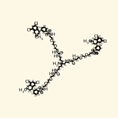 CN1Cc2c(Cl)cc(Cl)cc2[C@H](c2cccc(S(=O)(=O)NCCOCCOCCNC(=O)NCCCC(N)(CCCNC(=O)NCCOCCOCCNS(=O)(=O)c3cccc([C@@H]4CN(C)Cc5c(Cl)cc(Cl)cc54)c3)CCCNC(=O)NCCOCCOCCNS(=O)(=O)c3cccc([C@@H]4CN(C)Cc5c(Cl)cc(Cl)cc54)c3)c2)C1